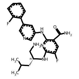 CC(C)C[C@H](CN)Nc1nc(Nc2cncc(-c3ccccc3F)c2)c(C(N)=O)cc1F